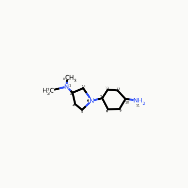 CN(C)C1CCN(C2CCC(N)CC2)C1